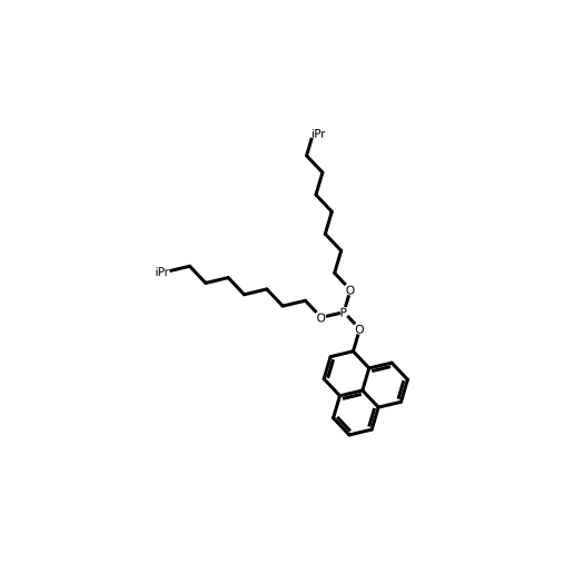 CC(C)CCCCCCCOP(OCCCCCCCC(C)C)OC1C=Cc2cccc3cccc1c23